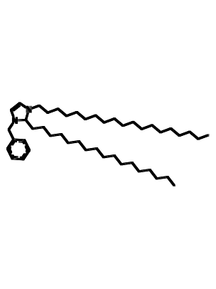 CCCCCCCCCCCCCCCCCCCN1C=CN(Cc2ccccc2)C1CCCCCCCCCCCCCCCCC